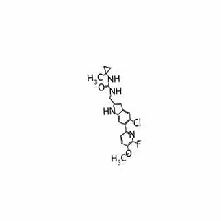 COc1ccc(-c2cc3[nH]c(CNC(=O)NC4(C)CC4)cc3cc2Cl)nc1F